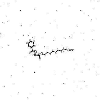 CCCCCCCCCCCCCCCCCCOC(=O)NOC(=O)c1ccccc1